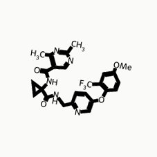 COc1ccc(Oc2ccc(CNC(=O)C3(NC(=O)c4cnc(C)nc4C)CC3)nc2)c(C(F)(F)F)c1